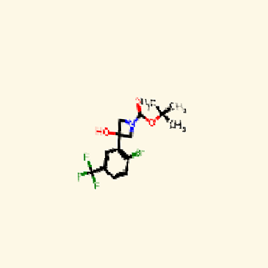 CC(C)(C)OC(=O)N1CC(O)(c2cc(C(F)(F)F)ccc2Br)C1